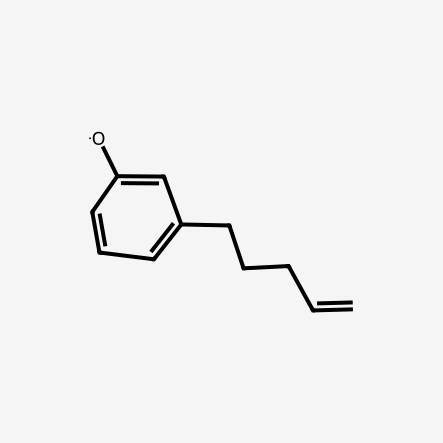 C=CCCCc1cccc([O])c1